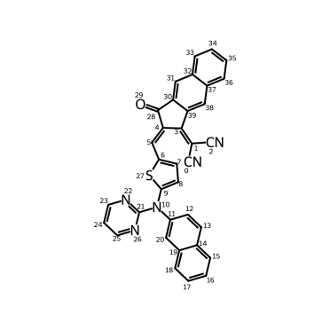 N#CC(C#N)=C1/C(=C\c2ccc(N(c3ccc4ccccc4c3)c3ncccn3)s2)C(=O)c2cc3ccccc3cc21